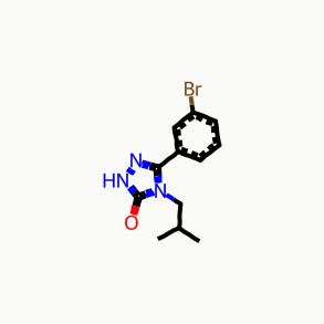 CC(C)Cn1c(-c2cccc(Br)c2)n[nH]c1=O